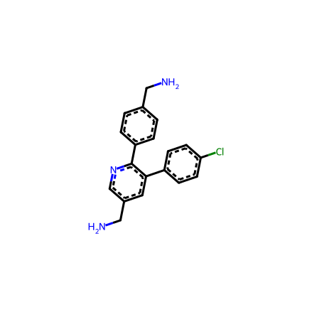 NCc1ccc(-c2ncc(CN)cc2-c2ccc(Cl)cc2)cc1